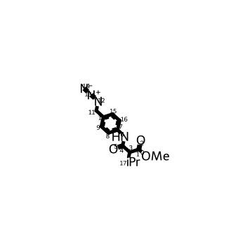 COC(=O)C(C(=O)Nc1ccc(CN=[N+]=[N-])cc1)C(C)C